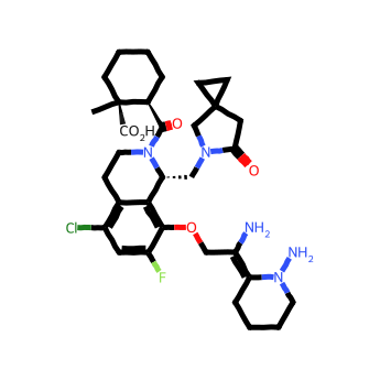 C[C@]1(C(=O)O)CCCC[C@H]1C(=O)N1CCc2c(Cl)cc(F)c(OC/C(N)=C3\CCCCN3N)c2[C@H]1CN1CC2(CC2)CC1=O